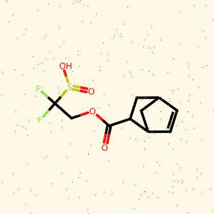 O=C(OCC(F)(F)S(=O)O)C1CC2C=CC1C2